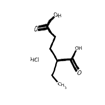 CCC(CCC(=O)O)C(=O)O.Cl